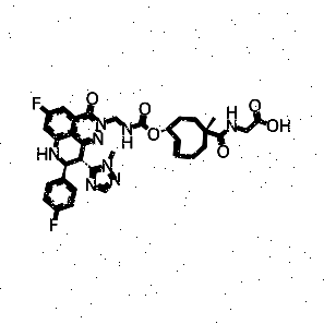 Cn1ncnc1[C@H]1c2nn(CNC(=O)O[C@H]3/C=C/CC[C@@](C)(C(=O)NCC(=O)O)CC3)c(=O)c3cc(F)cc(c23)N[C@@H]1c1ccc(F)cc1